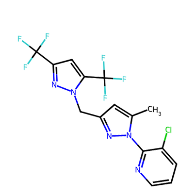 Cc1cc(Cn2nc(C(F)(F)F)cc2C(F)(F)F)nn1-c1ncccc1Cl